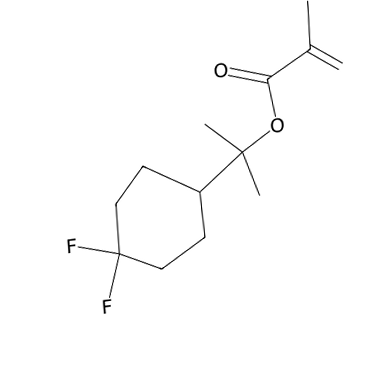 C=C(C)C(=O)OC(C)(C)C1CCC(F)(F)CC1